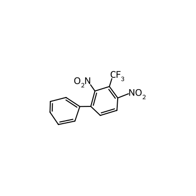 O=[N+]([O-])c1ccc(-c2ccccc2)c([N+](=O)[O-])c1C(F)(F)F